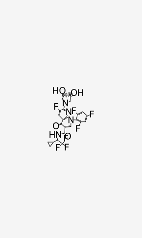 O=C(NC(C1CC1)C(F)(F)F)c1cn(-c2c(F)cc(F)cc2F)c2nc(N3C[C@@H](O)[C@H](O)C3)c(F)cc2c1=O